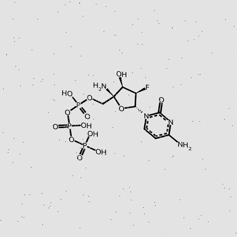 Nc1ccn([C@@H]2O[C@](N)(COP(=O)(O)OP(=O)(O)OP(=O)(O)O)[C@@H](O)[C@H]2F)c(=O)n1